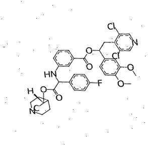 COc1ccc(C(Cc2c(Cl)cncc2Cl)OC(=O)c2cccc(NC(C(=O)O[C@H]3CN4CCC3CC4)c3ccc(F)cc3)c2)cc1OC